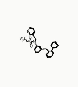 O=S(=O)(CC(F)(F)F)N(Cc1cccnc1)c1cccc(Cc2ccccc2-c2ccccc2)c1